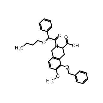 CCCCOC(C(=O)N1Cc2ccc(OC)c(OCc3ccccc3)c2CC1C(=O)O)c1ccccc1